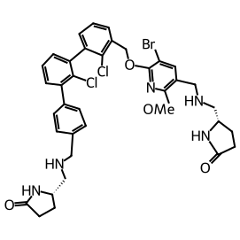 COc1nc(OCc2cccc(-c3cccc(-c4ccc(CNC[C@@H]5CCC(=O)N5)cc4)c3Cl)c2Cl)c(Br)cc1CNC[C@@H]1CCC(=O)N1